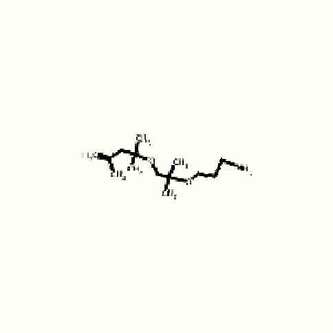 C=C(C)CC(C)(C)OCC(C)(C)OCCCN